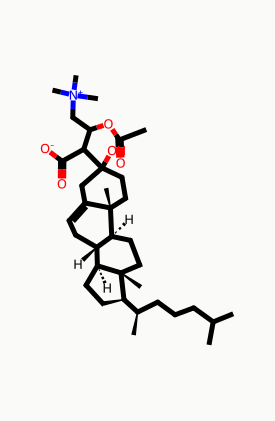 CC(=O)OC(C[N+](C)(C)C)C(C(=O)[O-])C1(O)CC[C@@]2(C)C(=CC[C@H]3[C@@H]4CC[C@H]([C@H](C)CCCC(C)C)[C@@]4(C)CC[C@@H]32)C1